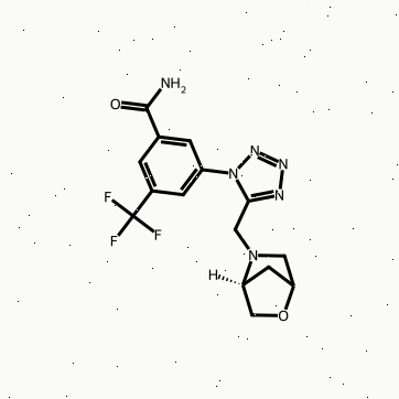 NC(=O)c1cc(-n2nnnc2CN2CC3C[C@H]2CO3)cc(C(F)(F)F)c1